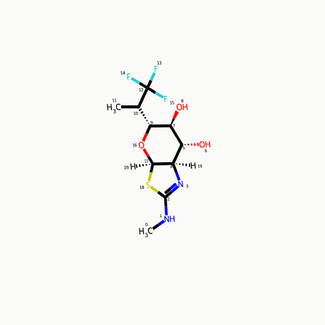 CNC1=N[C@@H]2[C@@H](O)[C@H](O)[C@@H](C(C)C(F)(F)F)O[C@@H]2S1